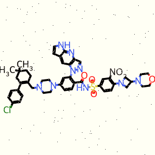 CC1(C)CCC(CN2CCN(c3ccc(C(=O)NS(=O)(=O)c4ccc(N5CC(N6CCOCC6)C5)c([N+](=O)[O-])c4)c(-n4ncc5nc6[nH]ccc6cc54)c3)CC2)=C(c2ccc(Cl)cc2)C1